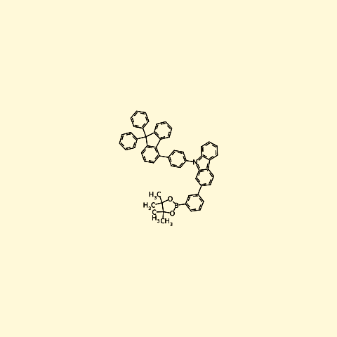 CC1(C)OB(c2cccc(-c3ccc4c5ccccc5n(-c5ccc(-c6cccc7c6-c6ccccc6C7(c6ccccc6)c6ccccc6)cc5)c4c3)c2)OC1(C)C